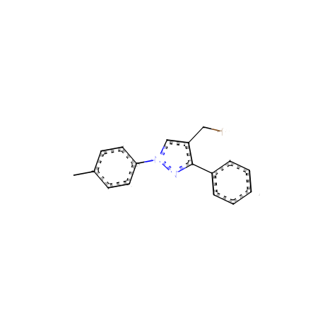 Cc1ccc(-n2cc(CBr)c(-c3ccccc3)n2)cc1